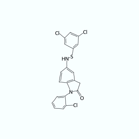 O=C1Cc2cc(NSc3cc(Cl)cc(Cl)c3)ccc2N1c1ccccc1Cl